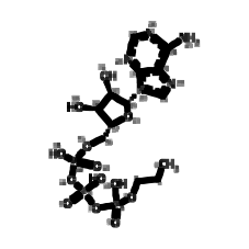 CCCOP(=O)(O)OP(=O)(O)OP(=O)(O)OC[C@H]1O[C@@H](n2cnc3c(N)ncnc32)[C@H](O)[C@@H]1O